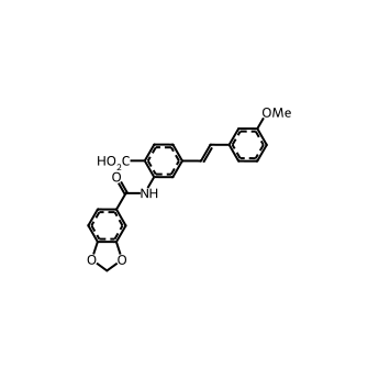 COc1cccc(/C=C/c2ccc(C(=O)O)c(NC(=O)c3ccc4c(c3)OCO4)c2)c1